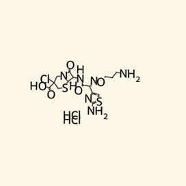 Cl.Cl.NCCCON=C(C(=O)NC1C(=O)N2CC(Cl)(C(=O)O)CS[C@H]12)c1csc(N)n1